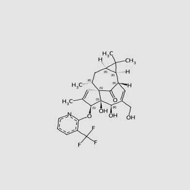 CC1=C[C@]23C(=O)[C@@H](C=C(CO)[C@@H](O)[C@]2(O)[C@H]1Oc1ncccc1C(F)(F)F)[C@H]1[C@@H](C[C@H]3C)C1(C)C